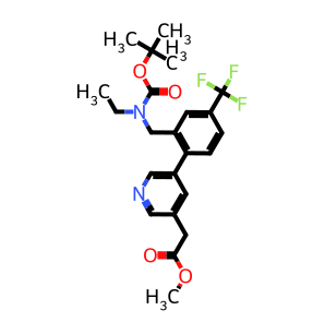 CCN(Cc1cc(C(F)(F)F)ccc1-c1cncc(CC(=O)OC)c1)C(=O)OC(C)(C)C